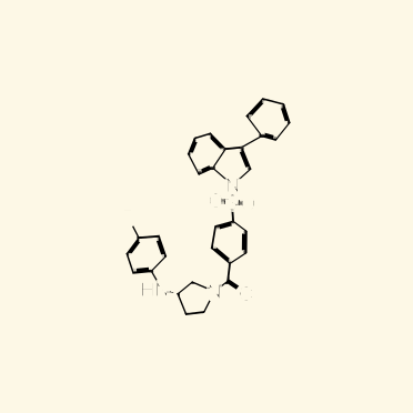 O=C(c1ccc(S(=O)(=O)n2cc(-c3ccccc3)c3ccccc32)cc1)N1CC[C@@H](Nc2ccc(F)cc2)C1